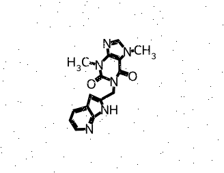 Cn1cnc2c1c(=O)n(Cc1cc3cccnc3[nH]1)c(=O)n2C